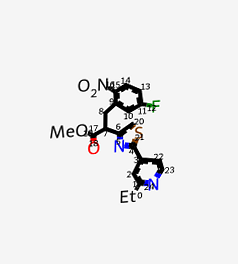 CCc1cc(-c2nc(C(Cc3cc(F)ccc3[N+](=O)[O-])C(=O)OC)cs2)ccn1